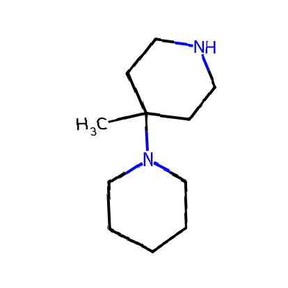 CC1(N2CCCCC2)CCNCC1